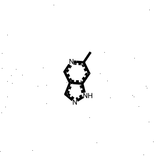 Cc1cc2[nH]ncc2cn1